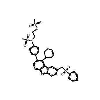 CS(=O)(=O)OCCN(c1ccc(-c2cnc3[nH]c4ccc(CS(=O)(=O)c5ccccc5)cc4c3c2C2=CC=CCC2)cc1)S(C)(=O)=O